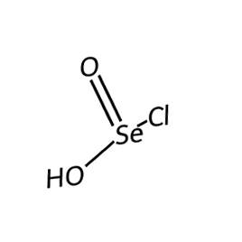 O=[Se](O)Cl